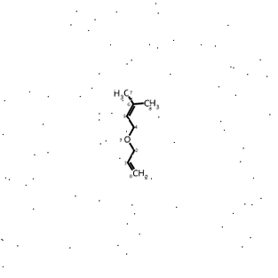 C=CCOCC=C(C)C